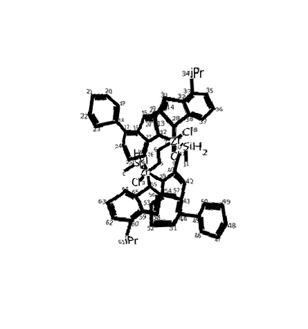 C[SiH2][Zr]([Cl])([Cl])([CH2][CH2][Zr]([Cl])([Cl])([SiH2]C)([CH]1C(C)=Cc2c(-c3ccccc3)cccc21)[CH]1C(C)=Cc2c(C(C)C)cccc21)([CH]1C(C)=Cc2c(-c3ccccc3)cccc21)[CH]1C(C)=Cc2c(C(C)C)cccc21